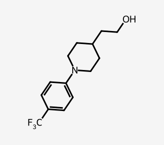 OCCC1CCN(c2ccc(C(F)(F)F)cc2)CC1